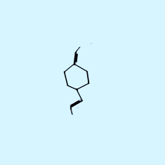 CCCCCC=C1CCC(/C=C/C(=O)OCC)CC1